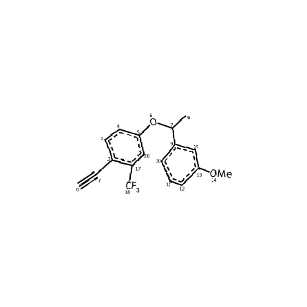 C#Cc1ccc(OC(C)c2cccc(OC)c2)cc1C(F)(F)F